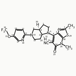 Cc1nc2c(N3CC[C@@H]4CN(c5ccc(OC(F)(F)F)cn5)CC[C@@H]43)c(C#N)c(=O)n(C)c2s1